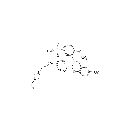 CC1=C(c2cc(S(C)(=O)=O)ccc2Cl)[C@@H](c2ccc(OCCN3CC(CF)C3)cc2)Oc2ccc(O)cc21